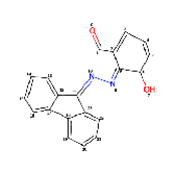 O=CC1=CC=CC(O)C1=NN=C1c2ccccc2-c2ccccc21